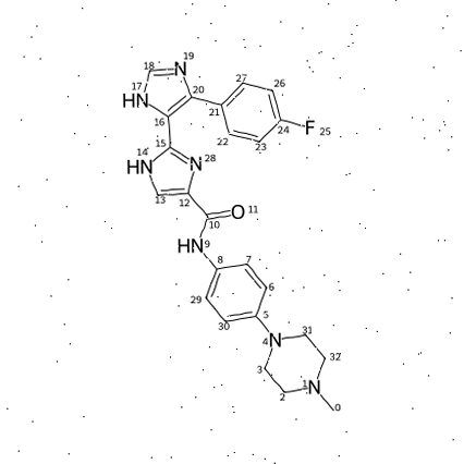 CN1CCN(c2ccc(NC(=O)c3c[nH]c(-c4[nH]cnc4-c4ccc(F)cc4)n3)cc2)CC1